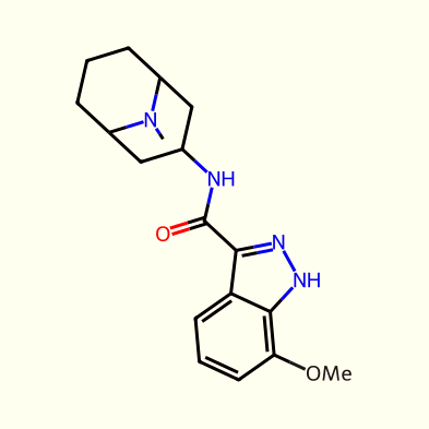 COc1cccc2c(C(=O)NC3CC4CCCC(C3)N4C)n[nH]c12